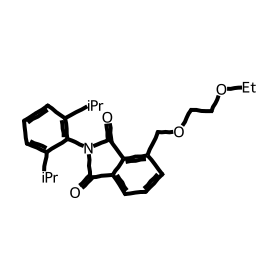 CCOCCOCc1cccc2c1C(=O)N(c1c(C(C)C)cccc1C(C)C)C2=O